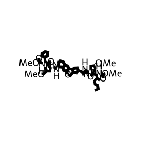 C=C(/C=C\C=C/C)[C@@H](NC(=O)OC)C(=O)N1C[C@@H](COC)C[C@H]1c1ncc(-c2ccc3c(c2)COc2cc4c(ccc5nc([C@@H]6CC(COC)CN6C(=O)[C@H](NC(=O)OC)c6ccccc6)[nH]c54)cc2-3)[nH]1